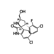 O=C1Nc2cc(Cl)ccc2[C@]12N[C@@H](CO)C[C@@H]2c1cccc(Cl)c1F